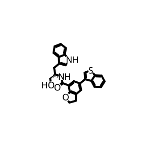 O=C(N[C@@H](CO)Cc1c[nH]c2ccccc12)c1cc(-c2csc3ccccc23)cc2c1OCC2